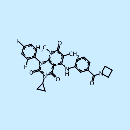 Cc1c(Nc2cccc(C(=O)N3CCC3)c2)c2c(=O)n(C3CC3)c(=O)n(-c3ccc(I)cc3F)c2n(C)c1=O